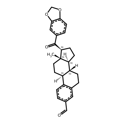 C[C@]12CC[C@@H]3c4ccc(C=O)cc4CC[C@H]3[C@@H]1CC[C@@H]2C(=O)c1ccc2c(c1)OCO2